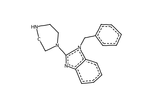 c1ccc(Cn2c(N3CCNCC3)nc3ccccc32)cc1